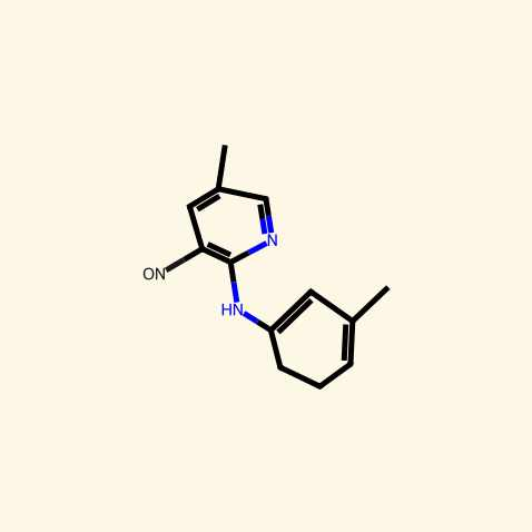 CC1=CCCC(Nc2ncc(C)cc2N=O)=C1